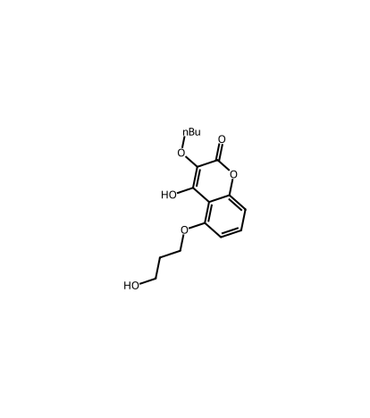 CCCCOc1c(O)c2c(OCCCO)cccc2oc1=O